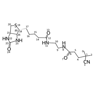 CC(C)(C#N)CCC(=O)NCCNC(=O)CCCC[C@H]1SCC2NC(=O)NC21